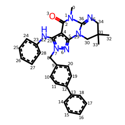 CN1C(=O)c2c(nn(Cc3ccc(-c4ccccc4)cc3)c2Nc2ccccc2)N2CC(C)(C)CN=C12